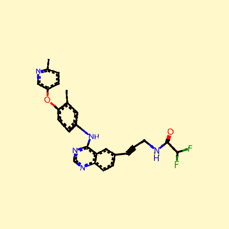 Cc1ccc(Oc2ccc(Nc3ncnc4ccc(C#CCNC(=O)C(F)F)cc34)cc2C)cn1